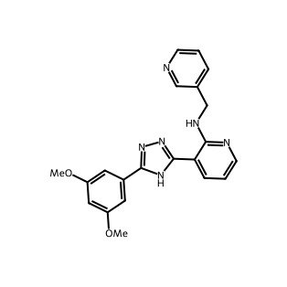 COc1cc(OC)cc(-c2nnc(-c3cccnc3NCc3cccnc3)[nH]2)c1